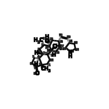 C[C@H]1C[C@H]2[C@@H]3CCC(=O)[C@@]3(C)CC[C@@H]2[C@@]2(C)CC[C@@H](/C=C\[C@@H]3CCNC3)C[C@]12O